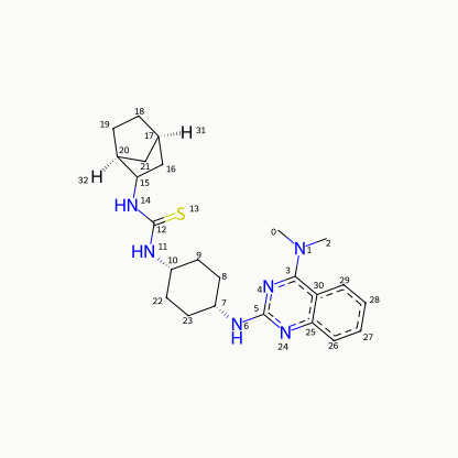 CN(C)c1nc(N[C@H]2CC[C@@H](NC(=S)NC3C[C@@H]4CC[C@H]3C4)CC2)nc2ccccc12